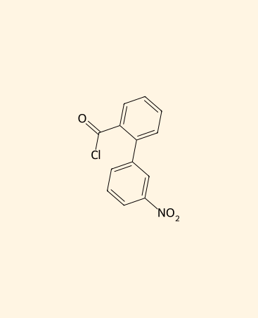 O=C(Cl)c1ccccc1-c1cccc([N+](=O)[O-])c1